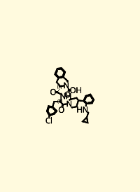 O=C(N[C@H](Cc1ccc(Cl)cc1)C(=O)N1CCC(c2ccccc2NCC2CC2)CC1)[C@@H]1Cc2ccccc2CN1C(=O)O